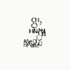 CCCCCOc1cc2nnnc(Nc3ccc(C)cc3)c2cc1OC